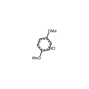 COc1ccc(OC)cc1.Cl